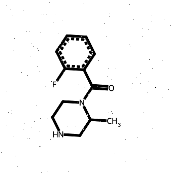 CC1CNCCN1C(=O)c1ccccc1F